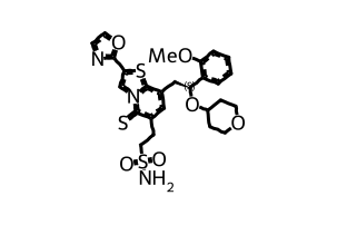 COc1ccccc1[C@H](Cc1cc(CCS(N)(=O)=O)c(=S)n2cc(-c3ncco3)sc12)OC1CCOCC1